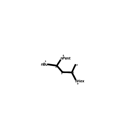 CCCCCCC(C)[CH]C(CCCC)CCCCC